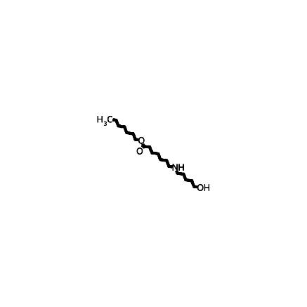 CCCCCCCOC(=O)CCCCCCNCCCCCO